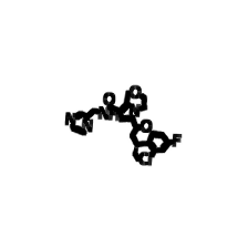 CC[C@@H](CC(=O)c1cc(C(=O)NCc2cnccn2)c2n1CCOC2)c1ccc(F)cc1Cl